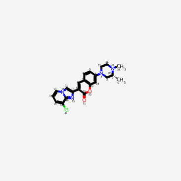 C[C@@H]1CN(c2ccc3cc(-c4cn5cccc(Cl)c5n4)c(=O)oc3c2)CCN1C